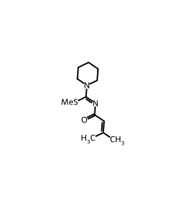 CSC(=NC(=O)C=C(C)C)N1CCCCC1